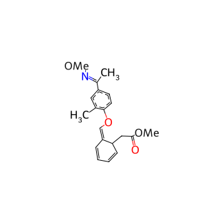 CON=C(C)c1ccc(OC=C2C=CC=CC2CC(=O)OC)c(C)c1